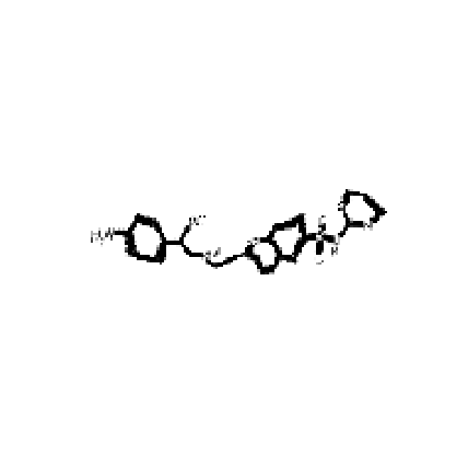 Nc1ccc(C(O)CNCC2CCc3cc(S(=O)(=O)Nc4ncccn4)ccc3O2)cc1